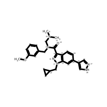 COc1cccc(CN(CN(C)C)C(=O)c2nn(CC3CC3)c3cc(-c4cn[nH]c4)ccc23)c1